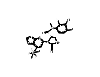 CN(C(=O)[C@@H]1CNC(=O)N1c1cc(S(F)(F)(F)(F)F)c2ncsc2n1)c1ccc(F)c(Cl)c1F